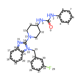 O=C(Nc1ccccc1)NC1CCN(c2nc3ccccc3n2Cc2cccc(F)c2)CC1